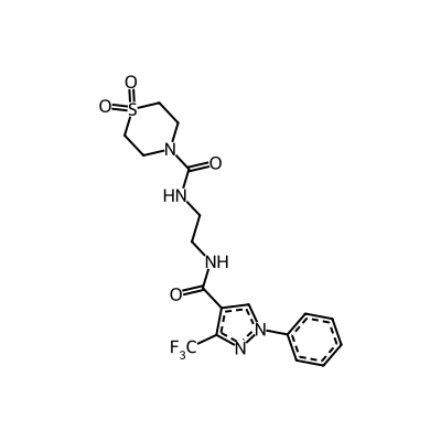 O=C(NCCNC(=O)N1CCS(=O)(=O)CC1)c1cn(-c2ccccc2)nc1C(F)(F)F